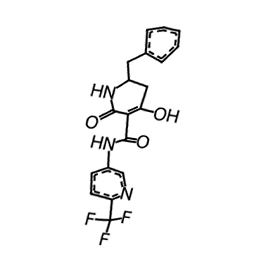 O=C(Nc1ccc(C(F)(F)F)nc1)C1=C(O)CC(Cc2ccccc2)NC1=O